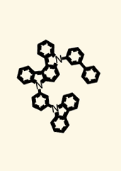 c1ccc(-c2cccc(-n3c4ccccc4c4c5c6ccccc6n(-c6cccc(-n7c8ccccc8c8ccccc87)c6)c5ccc43)c2)cc1